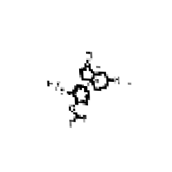 COc1cc([C@@]23CCC(N)C[C@@H]2N(C)CC3)ccc1OC(F)F